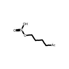 CC(=O)CCCCO[Si](=O)O